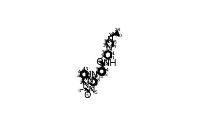 C[C@@H]1C(=O)N(C)c2ccc(Nc3cccc(C(=O)N[C@H]4CC[C@H](N5CCN(CC6CC6)CC5)CC4)c3)nc2N1Cc1ccccc1